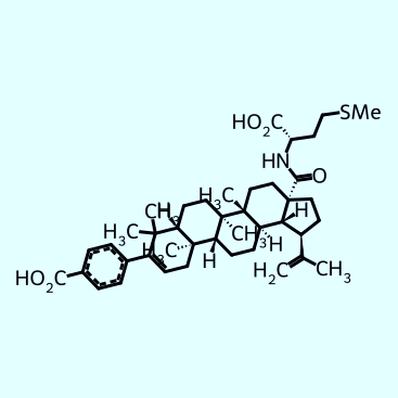 C=C(C)[C@@H]1CC[C@]2(C(=O)N[C@@H](CCSC)C(=O)O)CC[C@]3(C)[C@H](CC[C@@H]4[C@@]5(C)CC=C(c6ccc(C(=O)O)cc6)C(C)(C)[C@@H]5CC[C@]43C)[C@@H]12